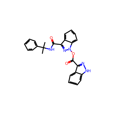 CC(C)(NC(=O)c1nn(OC(=O)c2n[nH]c3ccccc23)c2ccccc12)c1ccccc1